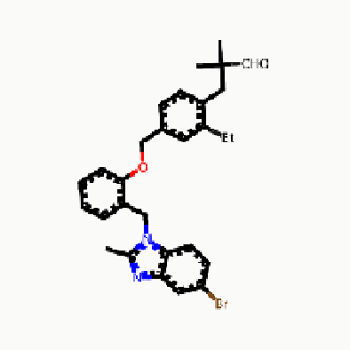 CCc1cc(COc2ccccc2Cn2c(C)nc3cc(Br)ccc32)ccc1CC(C)(C)C=O